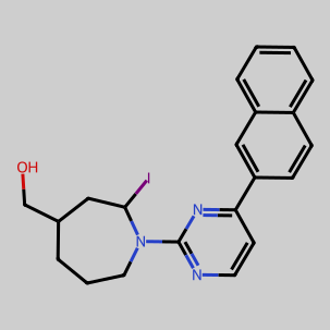 OCC1CCCN(c2nccc(-c3ccc4ccccc4c3)n2)C(I)C1